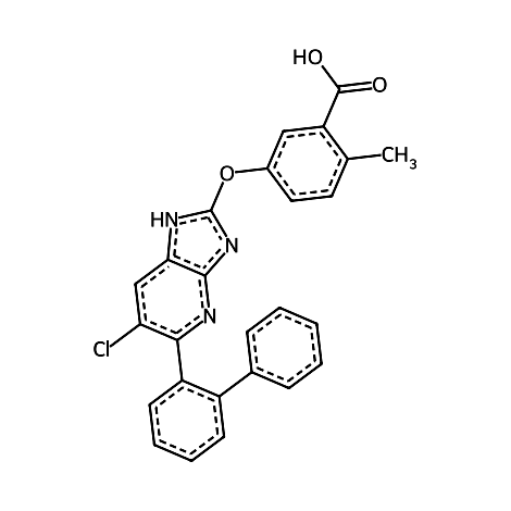 Cc1ccc(Oc2nc3nc(-c4ccccc4-c4ccccc4)c(Cl)cc3[nH]2)cc1C(=O)O